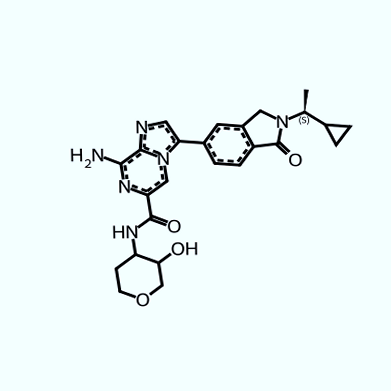 C[C@@H](C1CC1)N1Cc2cc(-c3cnc4c(N)nc(C(=O)NC5CCOCC5O)cn34)ccc2C1=O